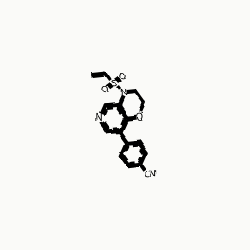 C=CS(=O)(=O)N1CCOc2c(-c3ccc(C#N)cc3)cncc21